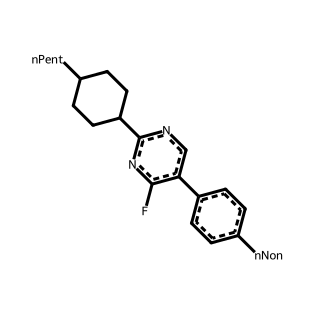 CCCCCCCCCc1ccc(-c2cnc(C3CCC(CCCCC)CC3)nc2F)cc1